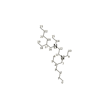 CCCCC(CC)CN(CC)CCN(CC)CC(CC)CCCC